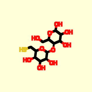 OCC1OC(O)C(O)C(O)[C@@H]1O[C@@H]1OC(CS)[C@H](O)C(O)[C@@H]1O